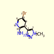 Cn1cc(-c2cc(Br)cnc2N)nn1